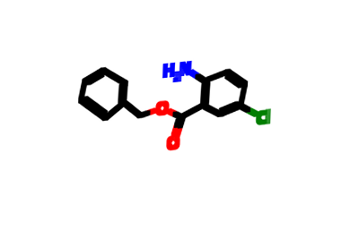 Nc1ccc(Cl)cc1C(=O)OCc1ccccc1